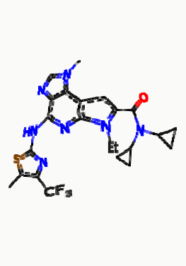 CCn1c(C(=O)N(C2CC2)C2CC2)cc2c3c(ncn3C)c(Nc3nc(C(F)(F)F)c(C)s3)nc21